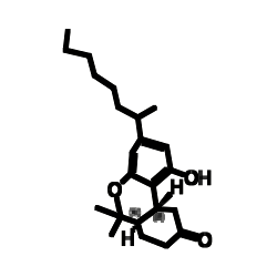 CCCCCCC(C)c1cc(O)c2c(c1)OC(C)(C)[C@@H]1CCC(=O)C[C@@H]21